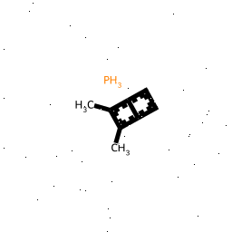 Cc1c2ccc-2c1C.P